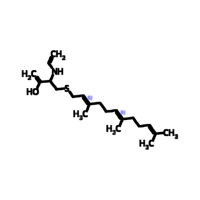 C=CNC(CSC/C=C(\C)CC/C=C(\C)CCC=C(C)C)C(=C)O